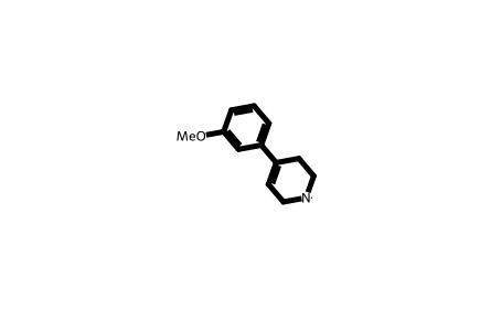 COc1cccc(C2=CC[N]CC2)c1